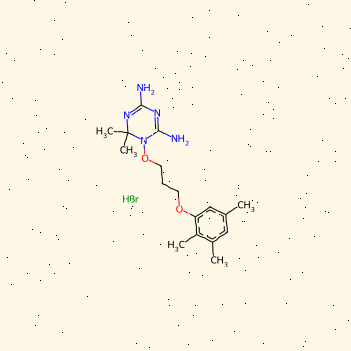 Br.Cc1cc(C)c(C)c(OCCCON2C(N)=NC(N)=NC2(C)C)c1